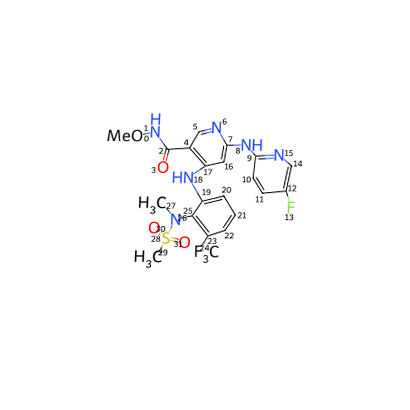 CONC(=O)c1cnc(Nc2ccc(F)cn2)cc1Nc1cccc(C(F)(F)F)c1N(C)S(C)(=O)=O